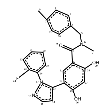 Cc1ccc(CN(C)C(=O)c2cc(-c3ccnn3-c3ccccc3F)c(O)cc2O)cc1